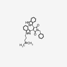 CN(C)CCCn1nc(C2=C(c3n[nH]c4ccccc34)C(=O)N(Cc3ccccc3)C2=O)c2ccccc21